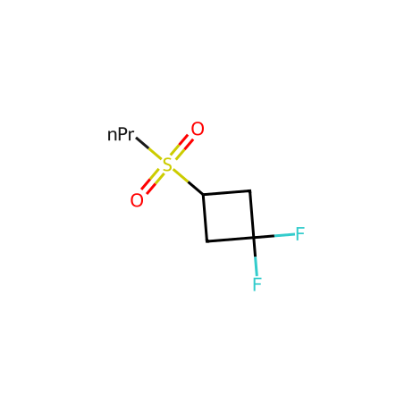 CCCS(=O)(=O)C1CC(F)(F)C1